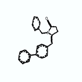 O=C1CC/C(=C/c2ccc(-c3ccccc3)cc2)N1Cc1ccccc1